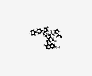 C#Cc1c(F)ccc2cc(O)cc(N3Cc4nc(OC[C@]5(C)C[C@@H](F)CN5C5CCN(C6CCOCC6)CC5)nc(N(C)C[C@@H]5CCCN5C(=O)C=C)c4OC3=O)c12